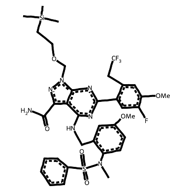 COc1ccc(N(C)S(=O)(=O)c2ccccc2)c(CNc2nc(-c3cc(F)c(OC)cc3CC(F)(F)F)nc3c2c(C(N)=O)nn3COCC[Si](C)(C)C)c1